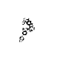 O=C(O)c1ccc2sc3ncnc(N[C@H]4CC[C@H](N5CCOCC5)CC4)c3c2c1